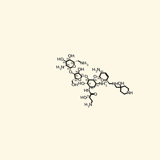 NC[C@@H]1O[C@H](O[C@H]2[C@@H](O)[C@H](O[C@@H]3[C@@H](O)[C@H](NC(=O)[C@@H](O)CN)C[C@H](N)[C@H]3O[C@H]3O[C@H](CNCC4(O)CCNCC4)C=C[C@H]3N)O[C@@H]2CO)[C@H](N)[C@@H](O)[C@@H]1O